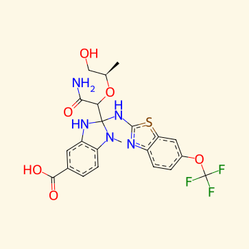 C[C@H](CO)OC(C(N)=O)C1(Nc2nc3ccc(OC(F)(F)F)cc3s2)Nc2cc(C(=O)O)ccc2N1C